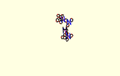 Cc1ccccc1N(c1ccc2ncc(-c3ccc4c(c3)c3cc(N5c6ccccc6[Si](c6ccccc6)(c6ccccc6)c6ccccc65)ccc3n4-c3ccccc3)cc2c1)c1ccccc1[SiH](c1ccccc1)c1ccccc1